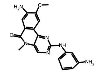 COc1cc2c(cc1N)c(=O)n(C)c1cnc(Nc3cccc(N)c3)nc21